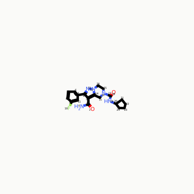 NC(=O)c1c(-c2cccc(F)c2)nn2c1CN(C(=O)NC1CCCC1)CC2